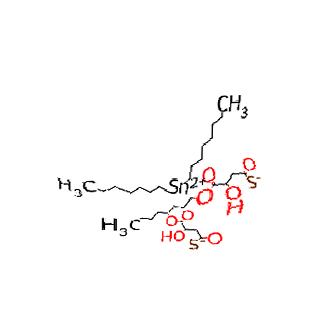 CCCCC(CCCOC(=O)C(O)CC(=O)[S-])OC(=O)C(O)CC(=O)[S-].CCCCCCC[CH2][Sn+2][CH2]CCCCCCC